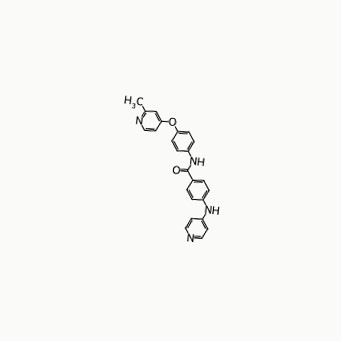 Cc1cc(Oc2ccc(NC(=O)c3ccc(Nc4ccncc4)cc3)cc2)ccn1